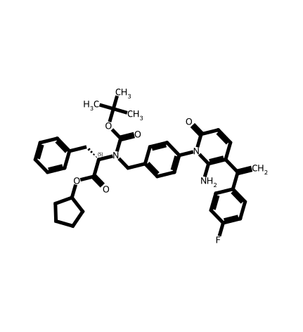 C=C(c1ccc(F)cc1)c1ccc(=O)n(-c2ccc(CN(C(=O)OC(C)(C)C)[C@@H](Cc3ccccc3)C(=O)OC3CCCC3)cc2)c1N